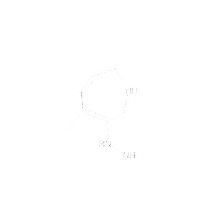 CC1=C(NN)CNCC=C1